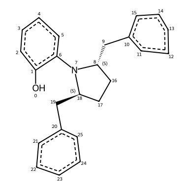 Oc1ccccc1N1[C@H](Cc2ccccc2)CC[C@H]1Cc1ccccc1